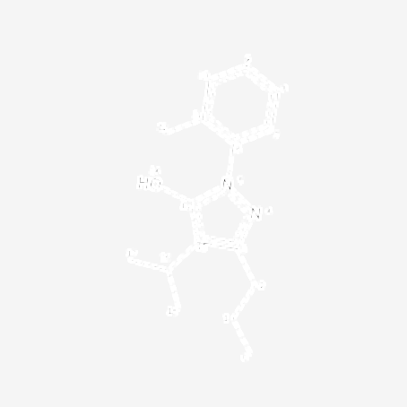 CCCc1nn(-c2ccccc2C)c(O)c1C(C)C